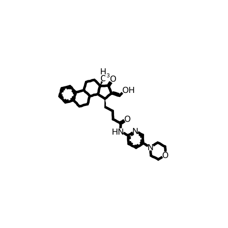 C[C@]12CCC3c4ccccc4CCC3C1[C@H](CCCC(=O)Nc1ccc(N3CCOCC3)cn1)/C(=C/O)C2=O